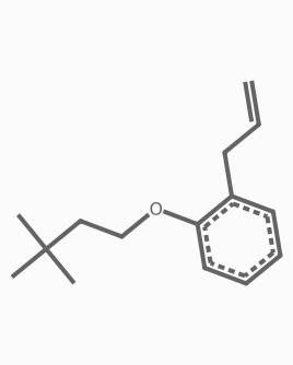 C=CCc1ccccc1OCCC(C)(C)C